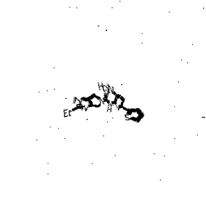 CCc1ncc2c(n1)CN(C(=O)Nc1nc(-c3cccs3)ccc1N)C2